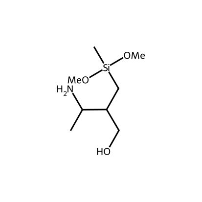 CO[Si](C)(CC(CO)C(C)N)OC